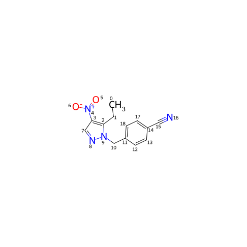 CCc1c([N+](=O)[O-])cnn1Cc1ccc(C#N)cc1